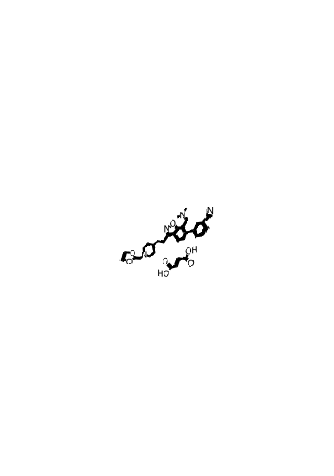 CN(C)Cc1c(-c2cccc(C#N)c2)ccc2c(CCC3CCN(CC4OCCO4)CC3)noc12.O=C(O)C=CC(=O)O